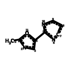 Cc1ncc(-c2ncccn2)o1